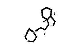 C[C@H](CN1CCOCC1)[C@H]1CC[C@@H]2CCCC[C@]21C